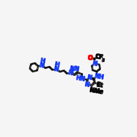 CCc1c(NC)nc(NCc2cn(CCCNCCCNC3CCCCC3)nn2)nc1NC1CCN(C(=O)C(F)(F)F)CC1